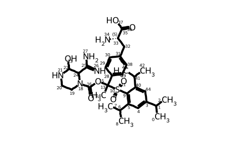 CC(C)c1cc(C(C)C)c(S(=O)(=O)C(C)(OC(=O)N2CCNC(O)C2C(=N)N)c2ccc(C[C@H](N)C(=O)O)cc2)c(C(C)C)c1